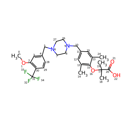 COc1cc(CN2CCN(Cc3cc(C)c(OC(C)(C)C(=O)O)c(C)c3)CC2)ccc1C(F)(F)F